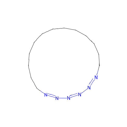 C1CCCCCCN=NN=NN=NCCCCCC1